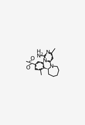 Cc1cc(N2CCCCC[C@H]2c2ccc(S(C)(=O)=O)cc2C)nc(N)n1